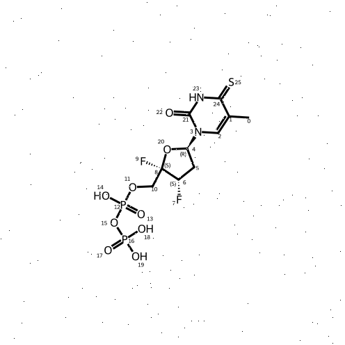 Cc1cn([C@H]2C[C@H](F)[C@@](F)(COP(=O)(O)OP(=O)(O)O)O2)c(=O)[nH]c1=S